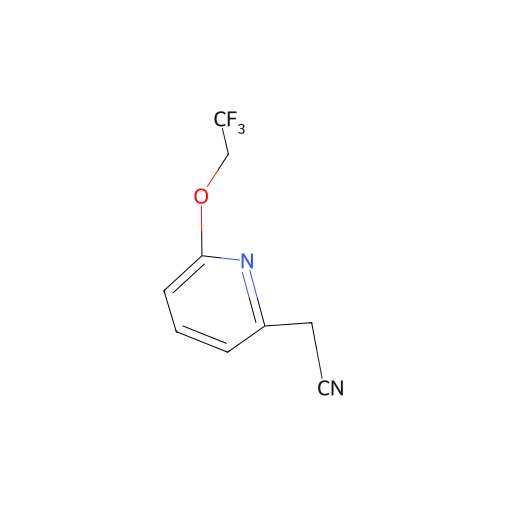 N#CCc1cccc(OCC(F)(F)F)n1